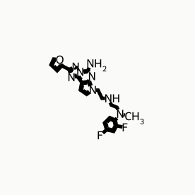 CN(CCNCCn1ccc2c1nc(N)n1nc(-c3ccco3)nc21)c1ccc(F)cc1F